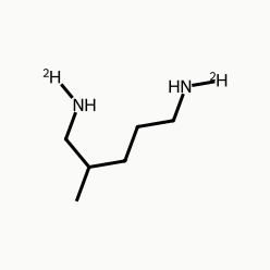 [2H]NCCCC(C)CN[2H]